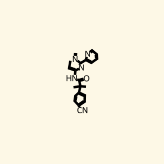 C=N/C(=N\C(=C/C)NC(=O)C(C)(C)c1ccc(C#N)cc1)c1ccccn1